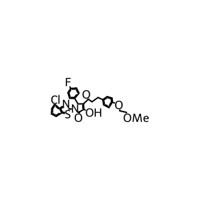 COCCOc1ccc(CCC(=O)C2=C(O)C(=O)N(c3nc4c(Cl)cccc4s3)C2c2ccc(F)cc2)cc1